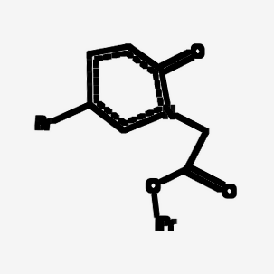 CC(C)OC(=O)Cn1cc(Br)ccc1=O